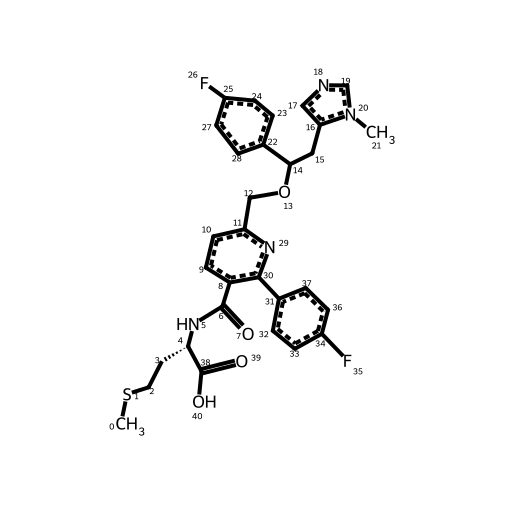 CSCC[C@H](NC(=O)c1ccc(COC(Cc2cncn2C)c2ccc(F)cc2)nc1-c1ccc(F)cc1)C(=O)O